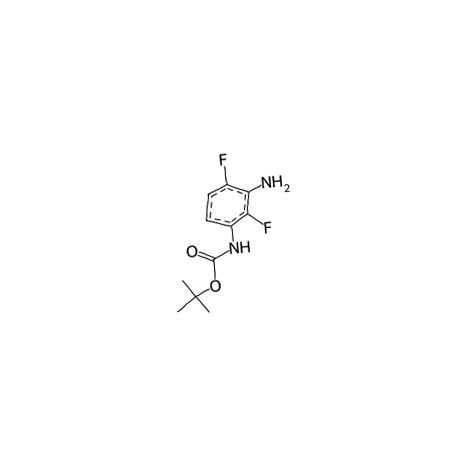 CC(C)(C)OC(=O)Nc1ccc(F)c(N)c1F